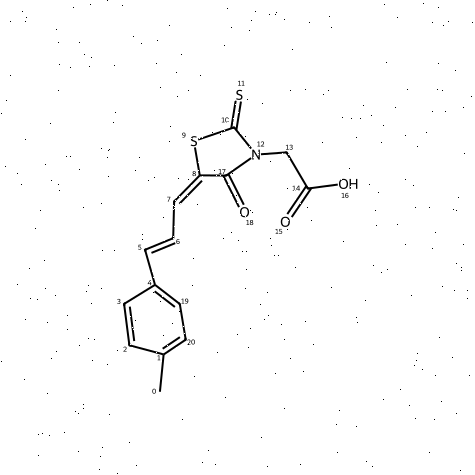 Cc1ccc(C=CC=C2SC(=S)N(CC(=O)O)C2=O)cc1